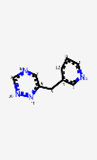 c1cncc(Cc2cncnn2)c1